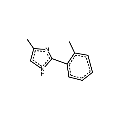 Cc1c[nH]c(-c2ccccc2C)n1